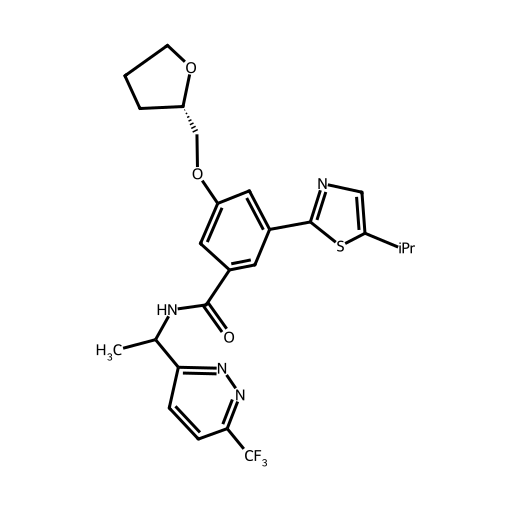 CC(C)c1cnc(-c2cc(OC[C@@H]3CCCO3)cc(C(=O)NC(C)c3ccc(C(F)(F)F)nn3)c2)s1